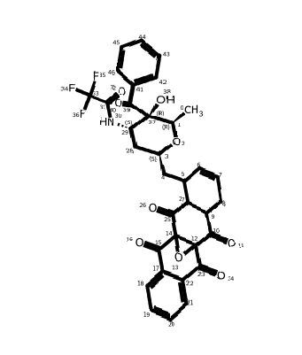 C[C@H]1O[C@@H](CC2C=CCC3C(=O)C45OC4(C(=O)c4ccccc4C5=O)C(=O)C23)C[C@H](NC(=O)C(F)(F)F)[C@]1(O)C(=O)c1ccccc1